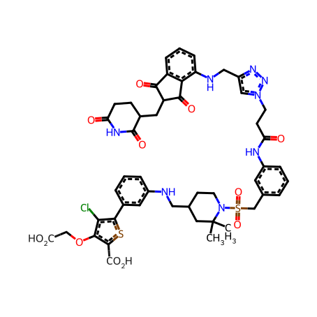 CC1(C)CC(CNc2cccc(-c3sc(C(=O)O)c(OCC(=O)O)c3Cl)c2)CCN1S(=O)(=O)Cc1cccc(NC(=O)CCn2cc(CNc3cccc4c3C(=O)C(CC3CCC(=O)NC3=O)C4=O)nn2)c1